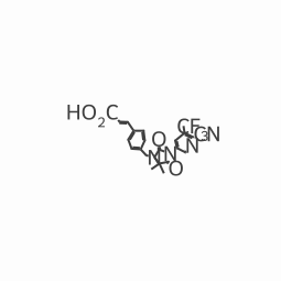 CC1(C)C(=O)N(c2cnc(C#N)c(C(F)(F)F)c2)C(=O)N1Cc1ccc(/C=C/C(=O)O)cc1